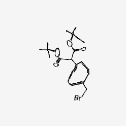 CC(C)(C)OC(=O)C(C(=O)OC(C)(C)C)c1ccc(CBr)cc1